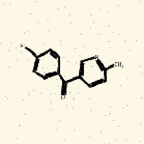 Cc1ccc(C(=O)c2ccc(Br)cc2)cn1